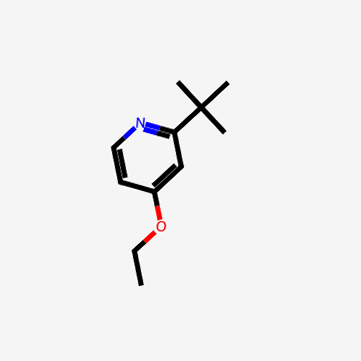 CCOc1ccnc(C(C)(C)C)c1